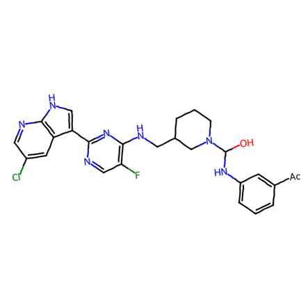 CC(=O)c1cccc(NC(O)N2CCCC(CNc3nc(-c4c[nH]c5ncc(Cl)cc45)ncc3F)C2)c1